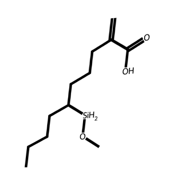 C=C(CCCC(CCCC)[SiH2]OC)C(=O)O